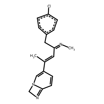 C/N=C(\C=C(/C)C1=CN2CN=C2C=C1)Cc1ccc(Cl)cc1